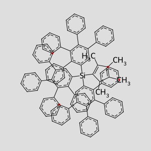 CC1=C(C)C(C)C([Si](c2cc(-c3ccccc3)c(-c3ccccc3)c(-c3ccccc3)c2-c2ccccc2)(c2cc(-c3ccccc3)c(-c3ccccc3)c(-c3ccccc3)c2-c2ccccc2)c2cc(-c3ccccc3)c(-c3ccccc3)c(-c3ccccc3)c2-c2ccccc2)=C1C